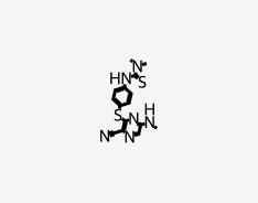 CNc1cnc(C#N)c(Sc2ccc(NC(=S)N(C)C)cc2)n1